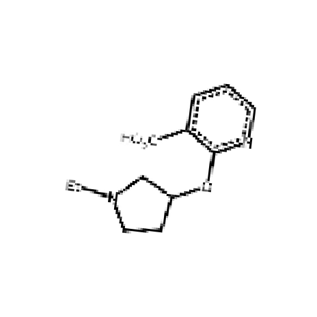 CCN1CCC(Oc2ncccc2C(=O)O)C1